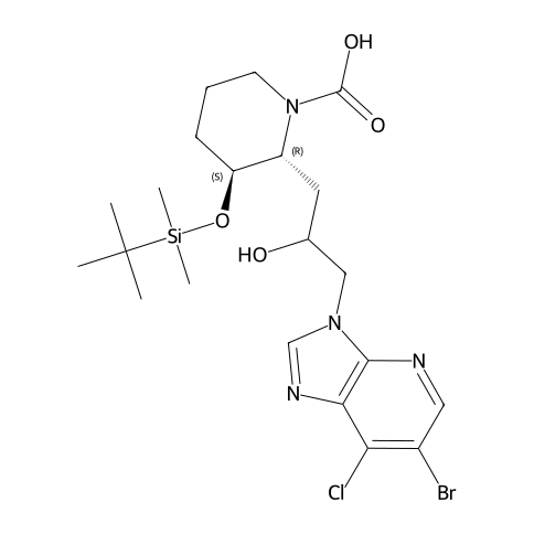 CC(C)(C)[Si](C)(C)O[C@H]1CCCN(C(=O)O)[C@@H]1CC(O)Cn1cnc2c(Cl)c(Br)cnc21